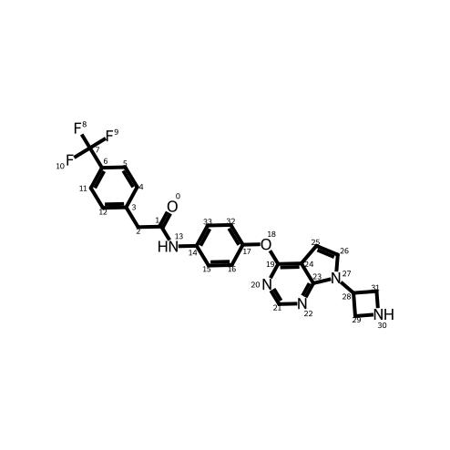 O=C(Cc1ccc(C(F)(F)F)cc1)Nc1ccc(Oc2ncnc3c2ccn3C2CNC2)cc1